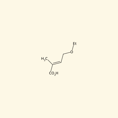 CCOCC=C(C)C(=O)O